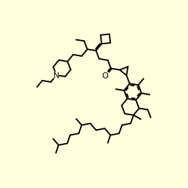 CCCN1CCC(CCC(CC)C(CCC(=O)C2CC2c2c(C)c(C)c3c(c2C)CCC(C)(CCCC(C)CCCC(C)CCCC(C)C)C3CC)=C2CCC2)CC1